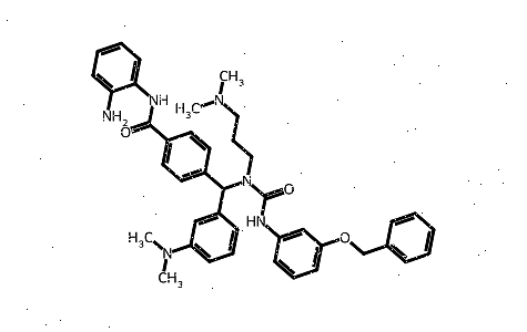 CN(C)CCCN(C(=O)Nc1cccc(OCc2ccccc2)c1)C(c1ccc(C(=O)Nc2ccccc2N)cc1)c1cccc(N(C)C)c1